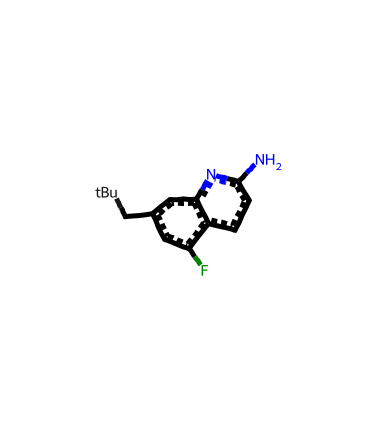 CC(C)(C)Cc1cc(F)c2ccc(N)nc2c1